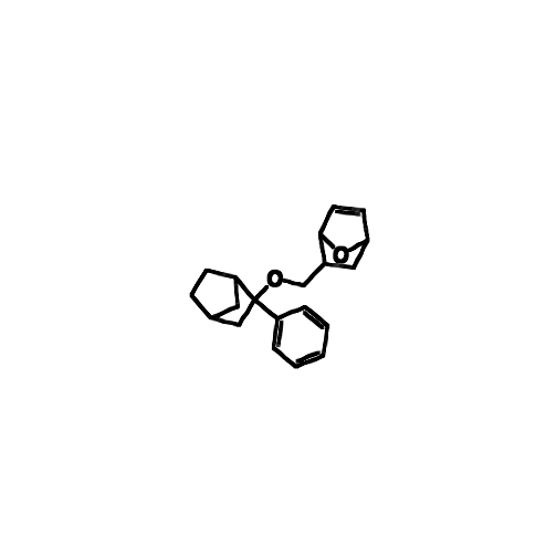 C1=CC2OC1CC2COC1(c2ccccc2)CC2CCC1C2